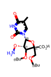 CCCCOC[C@@]1(C(=O)O)O[C@@H](n2cc(C)c(=O)[nH]c2=O)[C@@H](ON)C1OCCCC